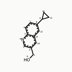 OCc1cnc2ccc(C3CC3)cc2c1